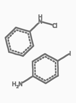 ClNc1ccccc1.Nc1ccc(I)cc1